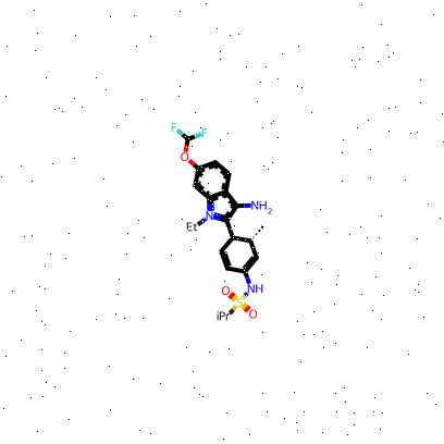 CCn1c(C2C=CC(NS(=O)(=O)C(C)C)=C[C@H]2C)c(N)c2ccc(OC(F)F)cc21